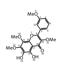 COc1cccc(-c2oc3c(OC)c(OC)c(O)c(O)c3c(=O)c2OC)c1